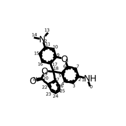 CNc1ccc2c(c1)Oc1cc(N(C)C)ccc1C21OC(=O)c2ccccc21